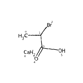 CC(Br)C(=O)O.[CaH2]